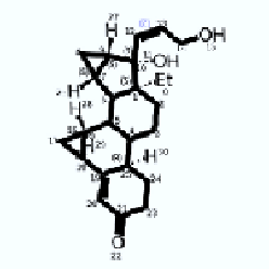 CC[C@]12CCC3C(C1[C@@H]1C[C@@H]1[C@@]2(O)/C=C\CO)[C@H]1C[C@H]1C1=CC(=O)CC[C@@H]13